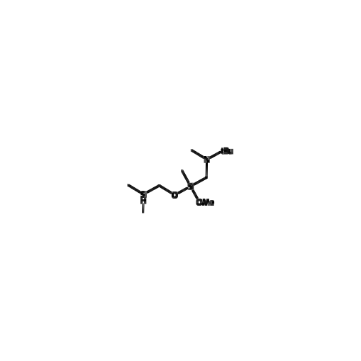 CO[Si](C)(CN(C)C(C)(C)C)OC[SiH](C)C